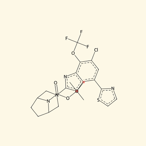 CC(C)(C)OC(=O)N1C2CCC1CN(c1nc3c(OC(F)(F)F)c(Cl)cc(-c4nccs4)c3o1)C2